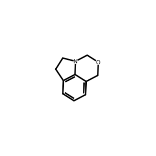 c1cc2c3c(c1)COCN3CC2